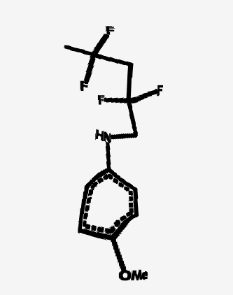 COc1ccc(NCC(F)(F)CC(C)(F)F)cc1